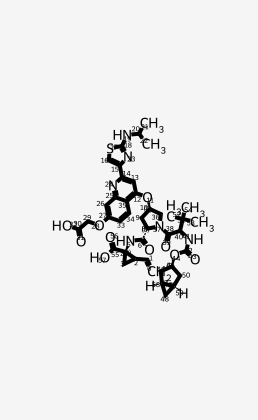 C=CC1C[C@]1(NC(=O)[C@@H]1C[C@@H](Oc2cc(-c3csc(NC(C)C)n3)nc3cc(OCC(=O)O)ccc23)CN1C(=O)C(NC(=O)O[C@@H]1C[C@@H]2C[C@@H]2C1)C(C)(C)C)C(=O)O